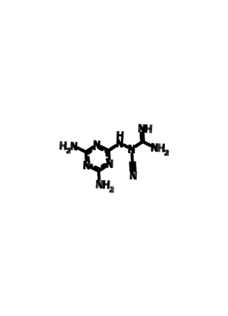 N#CN(Nc1nc(N)nc(N)n1)C(=N)N